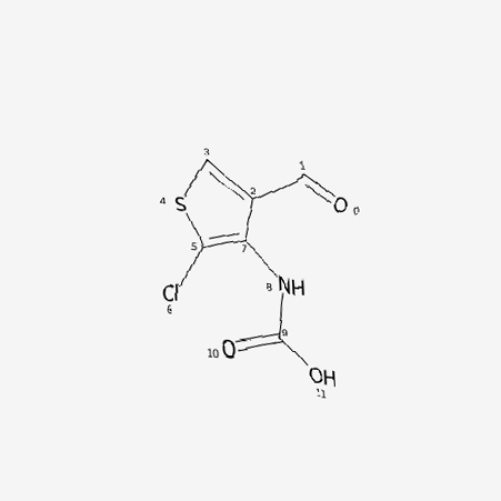 O=Cc1csc(Cl)c1NC(=O)O